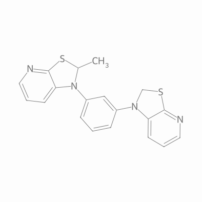 CC1Sc2ncccc2N1c1cccc(N2CSc3ncccc32)c1